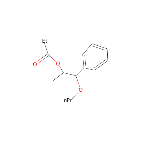 CCCOC(c1ccccc1)C(C)OC(=O)CC